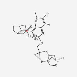 CC(C)(C)OC(=O)N1C2CCC1CN(c1nc(OCC3(CN4C[C@@H]5C[C@H]4CO5)CC3)nc3c(F)c(Br)c(I)cc13)C2